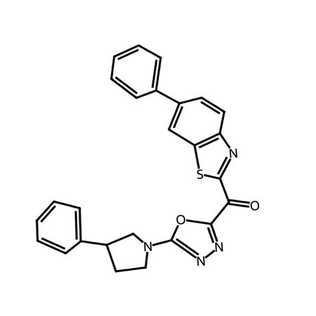 O=C(c1nnc(N2CCC(c3ccccc3)C2)o1)c1nc2ccc(-c3ccccc3)cc2s1